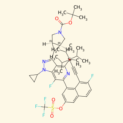 CCc1nc(-c2cc(OS(=O)(=O)C(F)(F)F)cc3ccc(F)c(C#C[Si](C(C)C)(C(C)C)C(C)C)c23)c(F)c2c1c(C1[C@H]3CN(C(=O)OC(C)(C)C)C[C@@H]13)nn2C1CC1